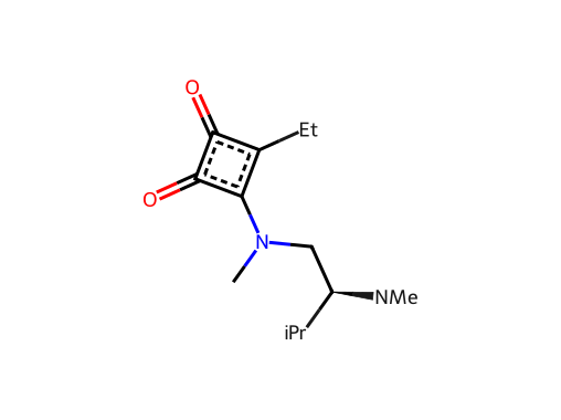 CCc1c(N(C)C[C@@H](NC)C(C)C)c(=O)c1=O